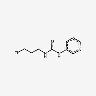 O=C(NCCCCl)Nc1cccnc1